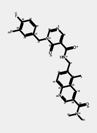 Cc1c(CNC(=O)c2cncn(Cc3ccc(F)c(F)c3)c2=O)ccc2ncc(C(=O)N(C)C)cc12